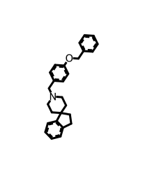 c1ccc(COc2ccc(CN3CCC4(CCc5ccccc54)CC3)cc2)cc1